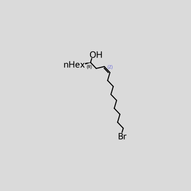 CCCCCC[C@@H](O)C/C=C\CCCCCCCCBr